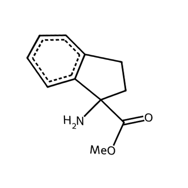 COC(=O)C1(N)CCc2ccccc21